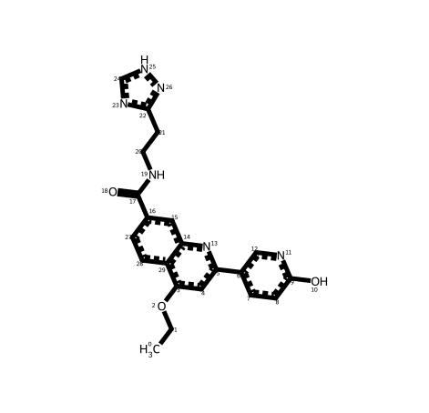 CCOc1cc(-c2ccc(O)nc2)nc2cc(C(=O)NCCc3nc[nH]n3)ccc12